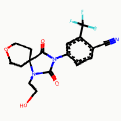 N#Cc1ccc(N2C(=O)N(CCO)C3(CCOCC3)C2=O)cc1C(F)(F)F